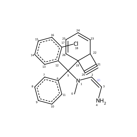 CN(/C=C\N)C(c1ccccc1)(c1ccccc1Cl)C12C#CC1C=CC=C2